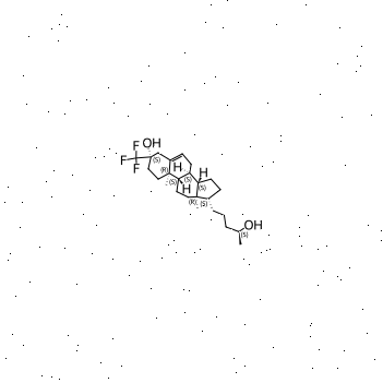 C[C@H](O)CCC[C@H]1CC[C@H]2[C@@H]3CC=C4C[C@](O)(C(F)(F)F)CC[C@]4(C)[C@H]3CC[C@]12C